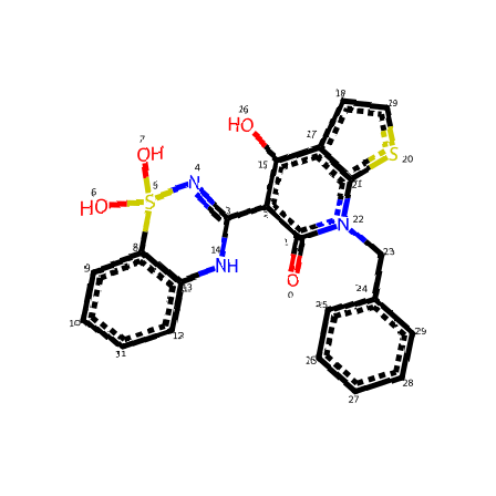 O=c1c(C2=NS(O)(O)c3ccccc3N2)c(O)c2ccsc2n1Cc1ccccc1